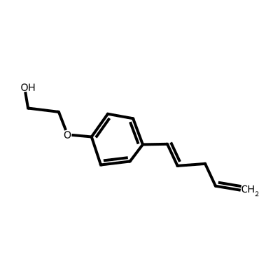 C=CCC=Cc1ccc(OCCO)cc1